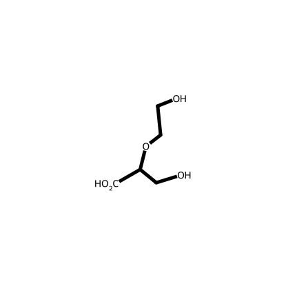 O=C(O)C(CO)OCCO